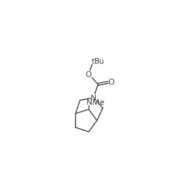 CNC1C2CCC1CN(C(=O)OC(C)(C)C)C2